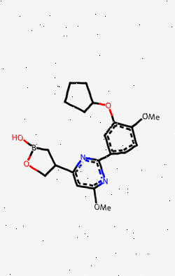 COc1cc(C2COB(O)C2)nc(-c2ccc(OC)c(OC3CCCC3)c2)n1